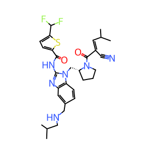 CC(C)C=C(C#N)C(=O)N1CCC[C@@H]1Cn1c(NC(=O)c2ccc(C(F)F)s2)nc2cc(CNCC(C)C)ccc21